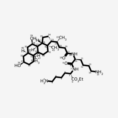 CCOC(=O)[C@H](CCCCN)NC(=O)[C@H](CCCCN)NC(=O)CC[C@@H](C)[C@H]1CC[C@H]2[C@@H]3[C@H](O)C[C@@H]4C[C@H](O)CC[C@]4(C)[C@H]3CC[C@]12C